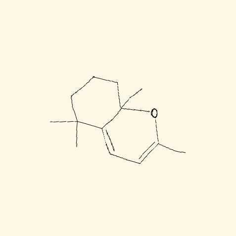 CC1=CC=C2C(C)(C)CCCC2(C)O1